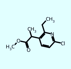 CCc1nc(Cl)ccc1C(C)C(=O)OC